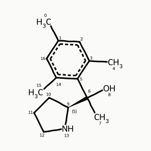 Cc1cc(C)c(C(C)(O)[C@@H]2CCCN2)c(C)c1